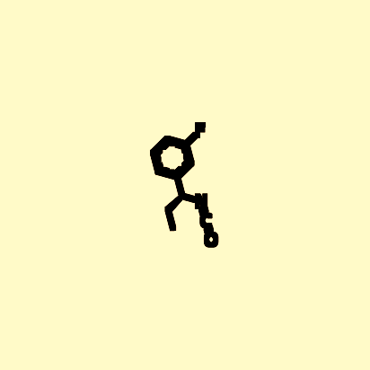 CC[C@H](N=C=O)c1cccc(F)c1